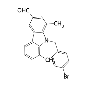 Cc1cccc2c3cc(C=O)cc(C)c3n(Cc3ccc(Br)cc3)c12